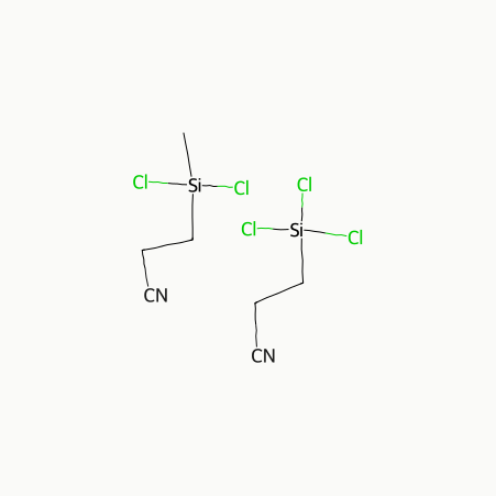 C[Si](Cl)(Cl)CCC#N.N#CCC[Si](Cl)(Cl)Cl